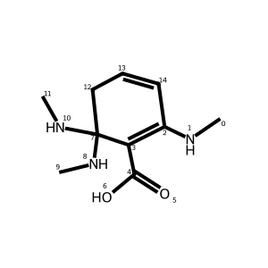 CNC1=C(C(=O)O)C(NC)(NC)CC=C1